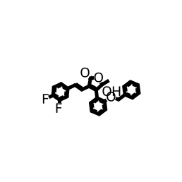 CC1(O)OC(=O)C(/C=C/c2ccc(F)c(F)c2)=C1c1ccccc1OCc1ccccc1